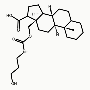 C[C@]12CCCCC1CC[C@H]1[C@@H]3CCC(C(=O)O)[C@@]3(COC(=O)NCCCO)CC[C@@H]12